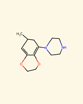 CC1C=C2OCCOC2=C(N2CCNCC2)C1